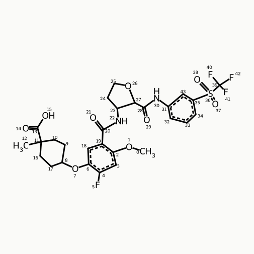 COc1cc(F)c(OC2CCC(C)(C(=O)O)CC2)cc1C(=O)NC1CCOC1C(=O)Nc1cccc(S(=O)(=O)C(F)(F)F)c1